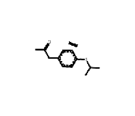 C=C.CC(=O)Cc1ccc(SC(C)C)cc1